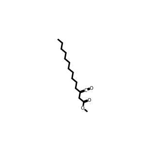 CCCCCCCCCCCC(=C=O)CC(=O)OC